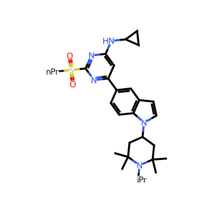 CCCS(=O)(=O)c1nc(NC2CC2)cc(-c2ccc3c(ccn3C3CC(C)(C)N(C(C)C)C(C)(C)C3)c2)n1